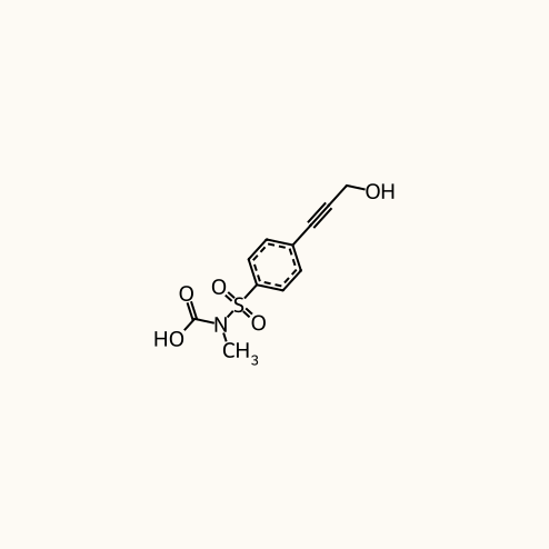 CN(C(=O)O)S(=O)(=O)c1ccc(C#CCO)cc1